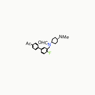 CN[C@H]1CC[C@H](N(C=O)Cc2cc(-c3ccc(C(C)=O)cc3)ccc2F)CC1